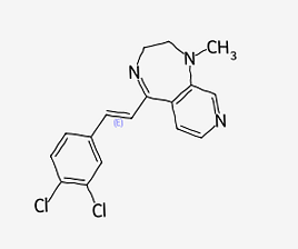 CN1CCN=C(/C=C/c2ccc(Cl)c(Cl)c2)c2ccncc21